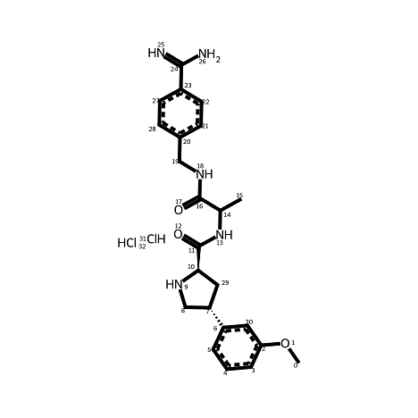 COc1cccc([C@@H]2CN[C@@H](C(=O)NC(C)C(=O)NCc3ccc(C(=N)N)cc3)C2)c1.Cl.Cl